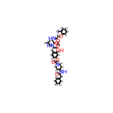 CC(C)C[C@H](NC(=O)COc1ccccc1I)C(=O)N[C@@H](Cc1ccc(OC(=O)N2CCC(NC(=O)Cc3ccccc3)CC2)cc1)C(=O)O